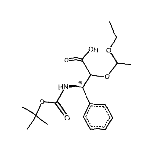 CCOC(C)OC(C(=O)O)[C@H](NC(=O)OC(C)(C)C)c1ccccc1